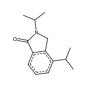 CC(C)c1cccc2c1CN(C(C)C)C2=O